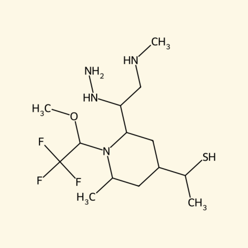 CNCC(NN)C1CC(C(C)S)CC(C)N1C(OC)C(F)(F)F